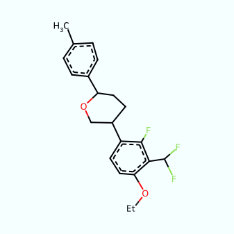 CCOc1ccc(C2CCC(c3ccc(C)cc3)OC2)c(F)c1C(F)F